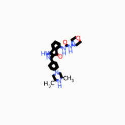 C[C@@H]1CN(c2ccc(-c3n[nH]c4c3C(=O)c3c(NC(=O)NN5CCOCC5)cccc3-4)cc2)C[C@H](C)N1